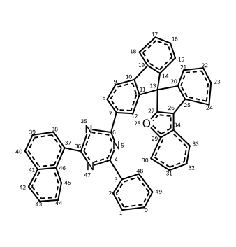 c1ccc(-c2nc(-c3ccc4c(c3)C3(c5ccccc5-4)c4ccccc4-c4c3oc3ccccc43)nc(-c3cccc4ccccc34)n2)cc1